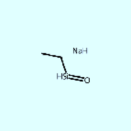 CC[SiH]=O.[NaH]